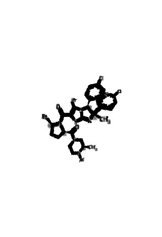 CC[C@@H]1CC[C@@H](C(=O)N2CCN(C(C)=O)[C@H](C)C2)N1C(=O)C1=C(C(C)C)N2C(=N[C@@](C)(c3ccc(Cl)nc3)[C@H]2c2ccc(Cl)cc2)S1